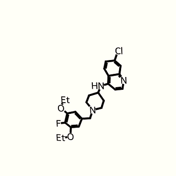 CCOc1cc(CN2CCC(Nc3ccnc4cc(Cl)ccc34)CC2)cc(OCC)c1F